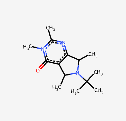 Cc1nc2c(c(=O)n1C)C(C)N(C(C)(C)C)C2C